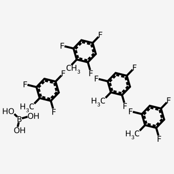 Cc1c(F)cc(F)cc1F.Cc1c(F)cc(F)cc1F.Cc1c(F)cc(F)cc1F.Cc1c(F)cc(F)cc1F.OB(O)O